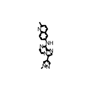 Cc1ccc2cc(Nc3nccn4c(-c5cnn(C)c5)cnc34)ccc2n1